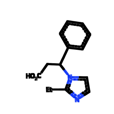 CCc1nccn1C(CC(=O)O)c1ccccc1